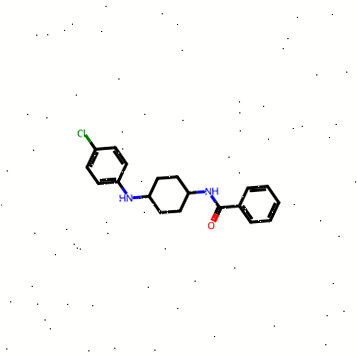 O=C(NC1CCC(Nc2ccc(Cl)cc2)CC1)c1ccccc1